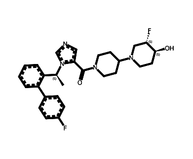 C[C@@H](c1ccccc1-c1ccc(F)cc1)n1cncc1C(=O)N1CCC(N2CC[C@H](O)[C@@H](F)C2)CC1